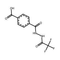 O=C(O)c1ccc(C(=O)NNC(=O)C(F)(F)F)cc1